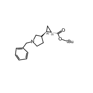 CC(C)(C)OC(=O)[C@H]1C[C@@H]1C1CCN(Cc2ccccc2)C1